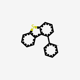 [c]1ccccc1-c1cccc2sc3ccccc3c12